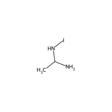 CC(N)NI